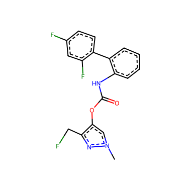 Cn1cc(OC(=O)Nc2ccccc2-c2ccc(F)cc2F)c(CF)n1